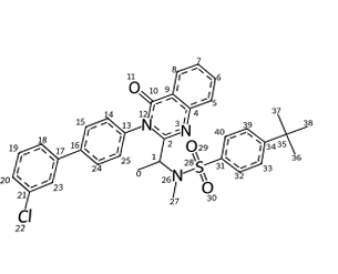 CC(c1nc2ccccc2c(=O)n1-c1ccc(-c2cccc(Cl)c2)cc1)N(C)S(=O)(=O)c1ccc(C(C)(C)C)cc1